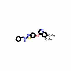 COc1cc2nccc(Oc3ccc4nc(NCC5CCCCC5)sc4c3)c2cc1OC